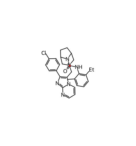 CCc1cccc(C)c1NC(=O)N1C2CCC1CN(Cc1c(-c3ccc(Cl)cc3)nc3ncccn13)C2